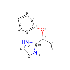 C=CC(Oc1ccccc1)C1=NCCN1